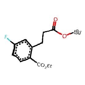 CCOC(=O)c1ccc(F)cc1CCC(=O)OC(C)(C)C